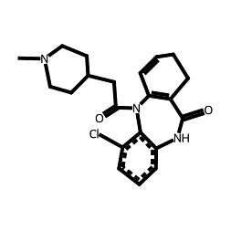 CN1CCC(CC(=O)N2C3=C(CCC=C3)C(=O)Nc3cccc(Cl)c32)CC1